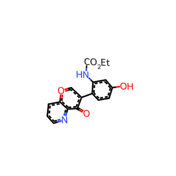 CCOC(=O)Nc1cc(O)ccc1-c1coc2cccnc2c1=O